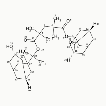 CCC(C)(CC(C)(C)C(=O)OC12CC3C[C@@H](C1)C(=O)[C@@H](C3)C2)C(=O)OC(C)(C)C12CC3C[C@@H](C1)C[C@@](O)(C3)C2